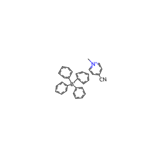 C[n+]1ccc(C#N)cc1.c1ccc([B-](c2ccccc2)(c2ccccc2)c2ccccc2)cc1